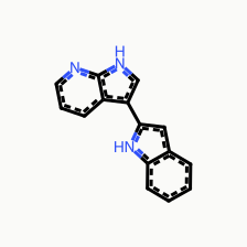 c1ccc2[nH]c(-c3c[nH]c4ncccc34)cc2c1